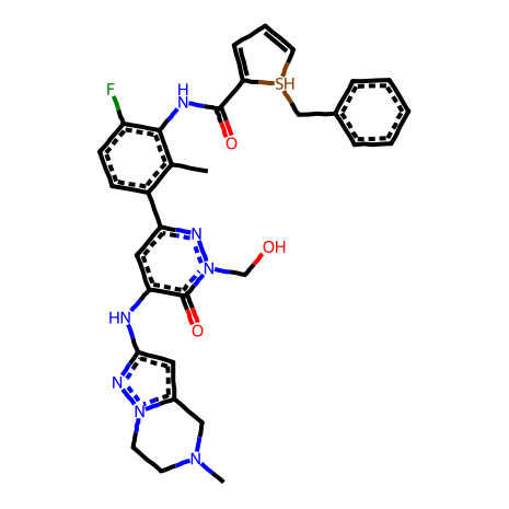 Cc1c(-c2cc(Nc3cc4n(n3)CCN(C)C4)c(=O)n(CO)n2)ccc(F)c1NC(=O)C1=CC=C[SH]1Cc1ccccc1